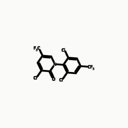 O=c1c(Cl)cc(C(F)(F)F)cn1-c1c(Cl)cc(C(F)(F)F)cc1Cl